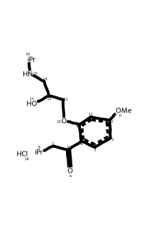 COc1ccc(C(=O)CC(C)C)c(OCC(O)CNC(C)C)c1.Cl